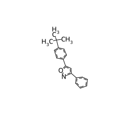 CC(C)(C)c1ccc(-c2cc(-c3ccccc3)no2)cc1